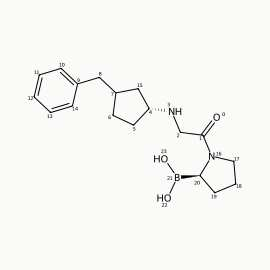 O=C(CN[C@@H]1CCC(Cc2ccccc2)C1)N1CCC[C@H]1B(O)O